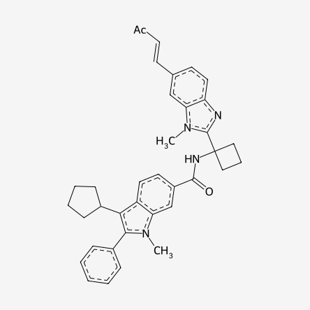 CC(=O)/C=C/c1ccc2nc(C3(NC(=O)c4ccc5c(C6CCCC6)c(-c6ccccc6)n(C)c5c4)CCC3)n(C)c2c1